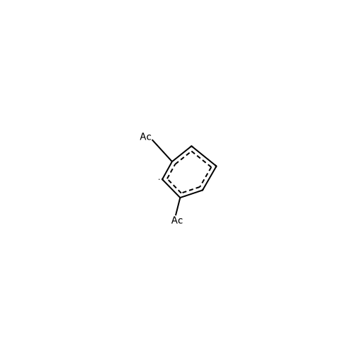 CC(=O)c1[c]c(C(C)=O)ccc1